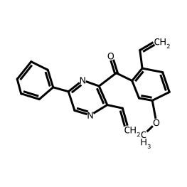 C=Cc1ccc(OC)cc1C(=O)c1nc(-c2ccccc2)cnc1C=C